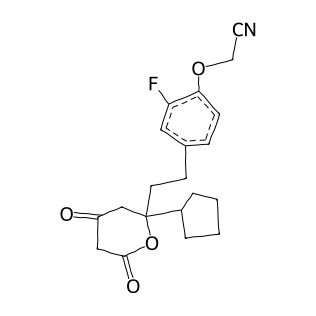 N#CCOc1ccc(CCC2(C3CCCC3)CC(=O)CC(=O)O2)cc1F